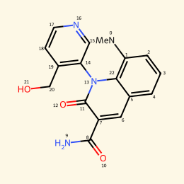 CNc1cccc2cc(C(N)=O)c(=O)n(-c3cnccc3CO)c12